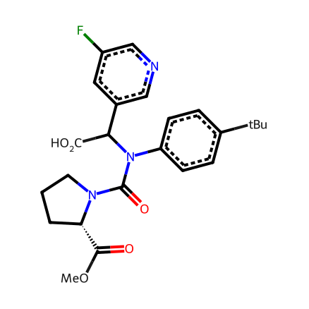 COC(=O)[C@@H]1CCCN1C(=O)N(c1ccc(C(C)(C)C)cc1)C(C(=O)O)c1cncc(F)c1